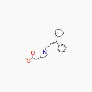 COC(=O)CC1CCN(CC/C=C(\c2ccccc2)C2CCCCC2)C1